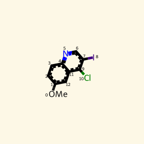 COc1ccc2ncc(I)c(Cl)c2c1